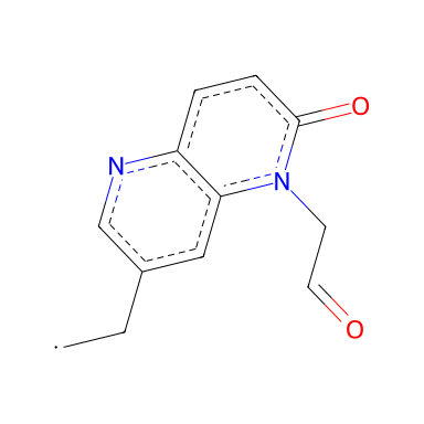 [CH2]Cc1cnc2ccc(=O)n(CC=O)c2c1